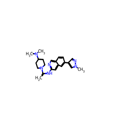 C=C(Nc1cc2cc(-c3cnn(C)c3)ccc2cn1)N1CCC(N(C)C)CC1